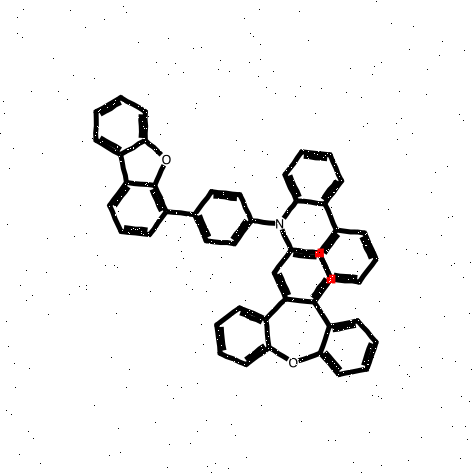 c1ccc(-c2ccccc2N(c2ccc(-c3cccc4c3oc3ccccc34)cc2)c2ccc3c(c2)-c2ccccc2Oc2ccccc2-3)cc1